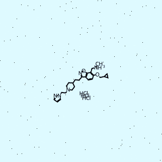 CNCc1c(OCC2CC2)ccc2c(CCC3CCN(CCn4cccn4)CC3)noc12.Cl.Cl.Cl